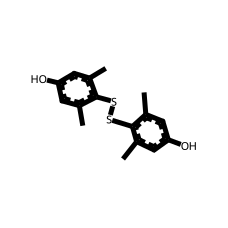 Cc1cc(O)cc(C)c1SSc1c(C)cc(O)cc1C